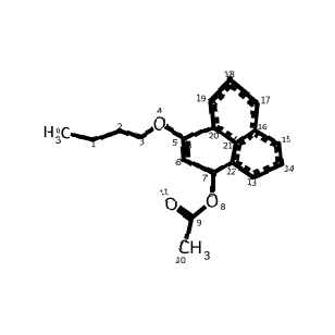 CCCCOC1=CC(OC(C)=O)c2cccc3cccc1c23